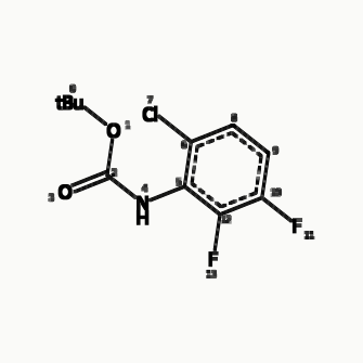 CC(C)(C)OC(=O)Nc1c(Cl)ccc(F)c1F